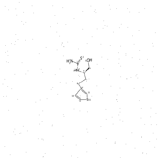 NC(=S)N[C@@H](CO)CCc1ccsc1